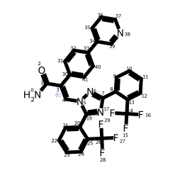 NC(=O)/C(=C/n1nc(-c2ccccc2C(F)(F)F)nc1-c1ccccc1C(F)(F)F)c1ccc(-c2cccnc2)cc1